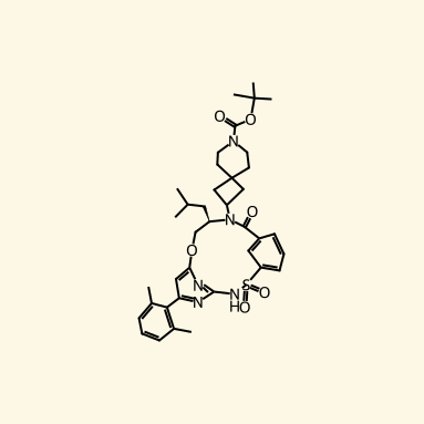 Cc1cccc(C)c1-c1cc2nc(n1)NS(=O)(=O)c1cccc(c1)C(=O)N(C1CC3(CCN(C(=O)OC(C)(C)C)CC3)C1)[C@H](CC(C)C)CO2